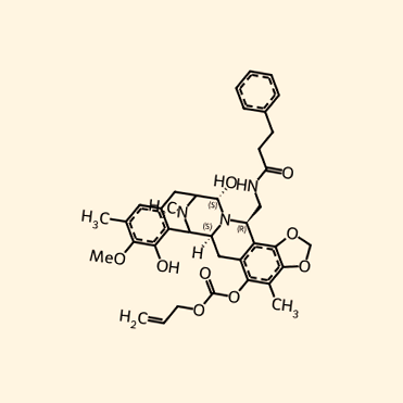 C=CCOC(=O)Oc1c(C)c2c(c3c1C[C@H]1C4c5c(cc(C)c(OC)c5O)CC([C@H](O)N1[C@H]3CNC(=O)CCc1ccccc1)N4C)OCO2